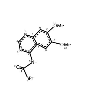 CCCC(=O)Nc1ncnc2cc(OC)c(OC)cc12